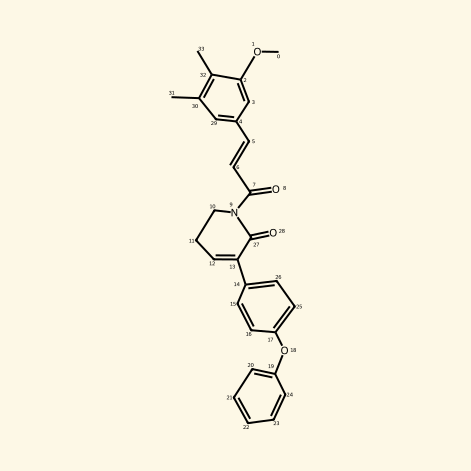 COc1cc(/C=C/C(=O)N2CCC=C(c3ccc(Oc4ccccc4)cc3)C2=O)cc(C)c1C